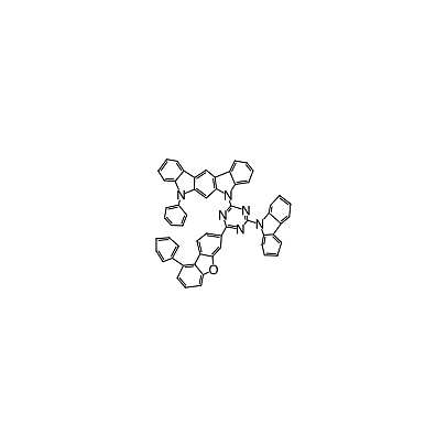 c1ccc(-c2cccc3oc4cc(-c5nc(-n6c7ccccc7c7ccccc76)nc(-n6c7ccccc7c7cc8c9ccccc9n(-c9ccccc9)c8cc76)n5)ccc4c23)cc1